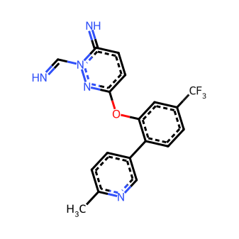 Cc1ccc(-c2ccc(C(F)(F)F)cc2Oc2ccc(=N)n(C=N)n2)cn1